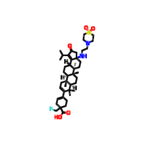 CC(C)C1=C2[C@H]3CC[C@@H]4[C@@]5(C)CC=C(C6=CCC(CF)(C(=O)O)CC6)C(C)(C)[C@@H]5CC[C@@]4(C)[C@]3(C)CC[C@@]2(NCCN2CCS(=O)(=O)CC2)CC1=O